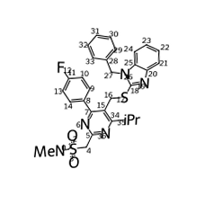 CNS(=O)(=O)Cc1nc(-c2ccc(F)cc2)c(CSc2nc3ccccc3n2Cc2ccccc2)c(C(C)C)n1